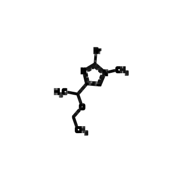 CCOC(C)c1cn(C)c(Br)n1